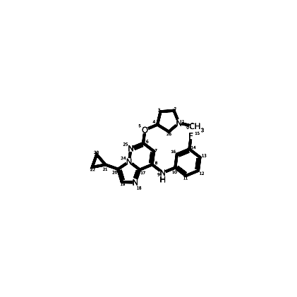 CN1CCC(Oc2cc(Nc3cccc(F)c3)c3ncc(C4CC4)n3n2)C1